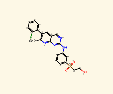 O=C(O)c1nc2nc(Nc3cccc(S(=O)(=O)CCO)c3)ncc2cc1-c1ccccc1Br